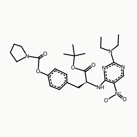 CCN(CC)c1ncc([N+](=O)[O-])c(N[C@@H](Cc2ccc(OC(=O)N3CCCC3)cc2)C(=O)OC(C)(C)C)n1